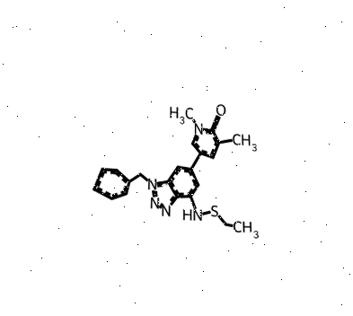 CCSNc1cc(-c2cc(C)c(=O)n(C)c2)cc2c1nnn2Cc1ccccc1